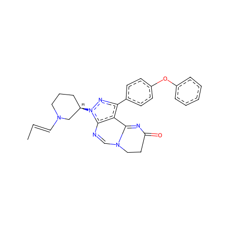 CC=CN1CCC[C@@H](n2nc(-c3ccc(Oc4ccccc4)cc3)c3c2N=CN2CCC(=O)N=C32)C1